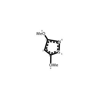 COc1cc(OC)sn1